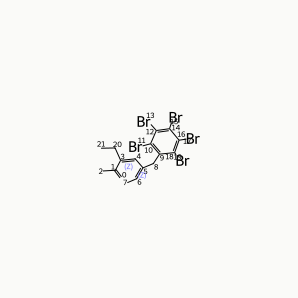 C=C(C)/C(=C\C(=C/C)Cc1c(Br)c(Br)c(Br)c(Br)c1Br)CC